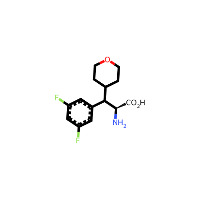 N[C@H](C(=O)O)C(c1cc(F)cc(F)c1)C1CCOCC1